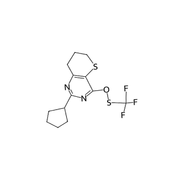 FC(F)(F)SOc1nc(C2CCCC2)nc2c1SCCC2